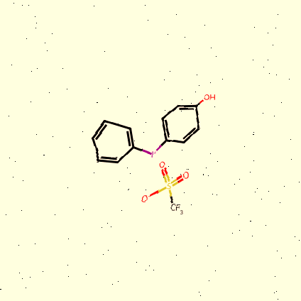 O=S(=O)([O-])C(F)(F)F.Oc1ccc([I+]c2ccccc2)cc1